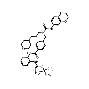 CC(C)(C)OC(=O)Nc1ccccc1NC(=O)c1ccc(CN(CCCN2CCOCC2)C(=O)Nc2ccc3c(c2)OCCO3)cn1